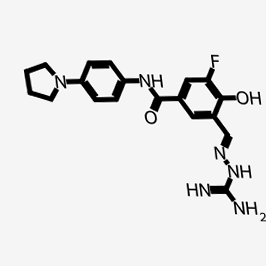 N=C(N)NN=Cc1cc(C(=O)Nc2ccc(N3CCCC3)cc2)cc(F)c1O